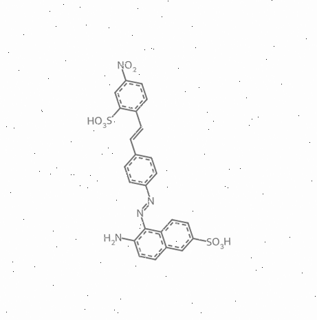 Nc1ccc2cc(S(=O)(=O)O)ccc2c1N=Nc1ccc(C=Cc2ccc([N+](=O)[O-])cc2S(=O)(=O)O)cc1